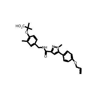 C=CCOc1ccc(-c2cc(C(=O)NCc3ccc(OC(C)(C)C(=O)O)c(C)c3)nn2C)cc1